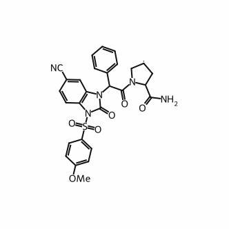 COc1ccc(S(=O)(=O)n2c(=O)n(C(C(=O)N3C[CH]CC3C(N)=O)c3ccccc3)c3cc(C#N)ccc32)cc1